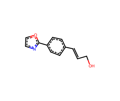 OCC=Cc1ccc(-c2ncco2)cc1